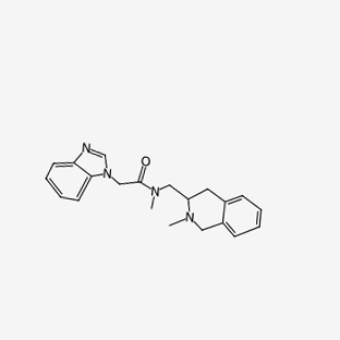 CN(CC1Cc2ccccc2CN1C)C(=O)Cn1cnc2ccccc21